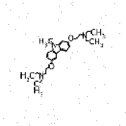 CCN(CC)CCOc1ccc2c(c1)c1ccc(OCCN(CC)CC)cc1n2C